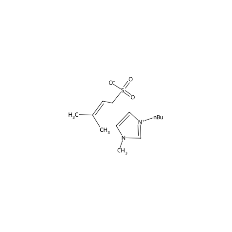 CC(C)=CCS(=O)(=O)[O-].CCCC[n+]1ccn(C)c1